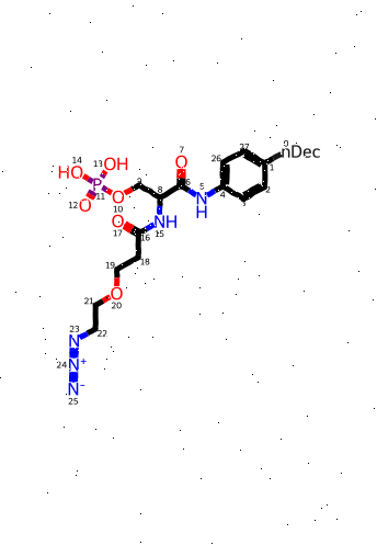 CCCCCCCCCCc1ccc(NC(=O)C(COP(=O)(O)O)NC(=O)CCOCCN=[N+]=[N-])cc1